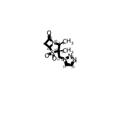 C[C@@H]1N2C(=O)CC2S(=O)(=O)[C@@]1(C)Cn1ccnn1